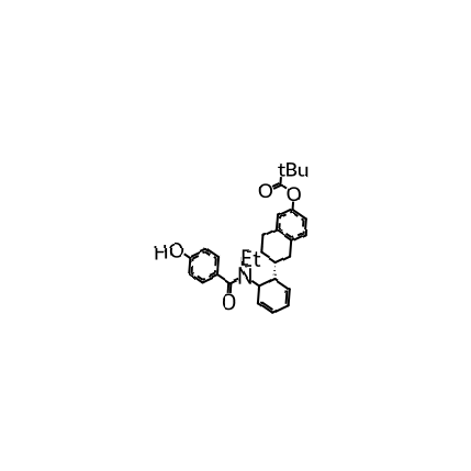 CCN(C(=O)c1ccc(O)cc1)C1C=CC=CC1[C@@H]1CCc2cc(OC(=O)C(C)(C)C)ccc2C1